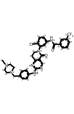 CN1CCN(Cc2ccc(Nc3ncc4c(n3)CCN(c3cc(NC(=O)c5cccc(C(F)(F)F)c5)ccc3Cl)C4=O)cc2)CC1